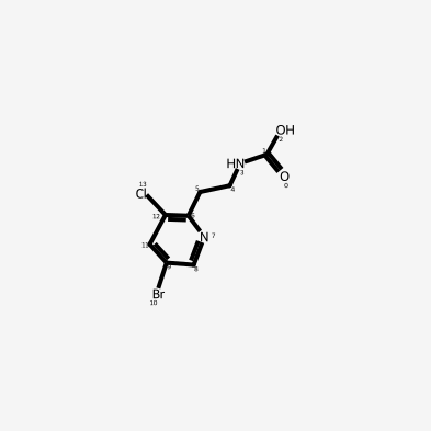 O=C(O)NCCc1ncc(Br)cc1Cl